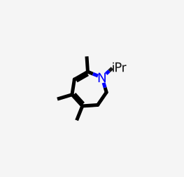 CC1=CC(C)=C(C)CCN1C(C)C